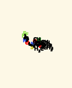 COc1c(Cl)cc(O[Si](C(C)C)(C(C)C)C(C)C)cc1-c1csc(CCOc2ccc(C(F)(F)F)cn2)n1